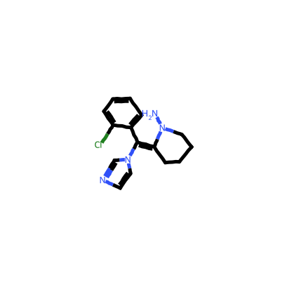 NN1CCCCC1=C(c1ccccc1Cl)n1ccnc1